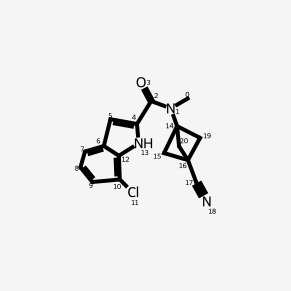 CN(C(=O)c1cc2cccc(Cl)c2[nH]1)C12CC(C#N)(C1)C2